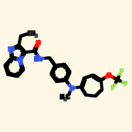 CCc1nc2ccccn2c1C(=O)NCc1ccc(N(C)C2=CC=C(OC(F)(F)F)CCC2)cc1